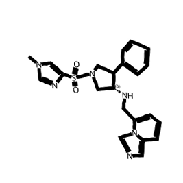 Cn1cnc(S(=O)(=O)N2CC(c3ccccc3)[C@H](NCc3cccc4cncn34)C2)c1